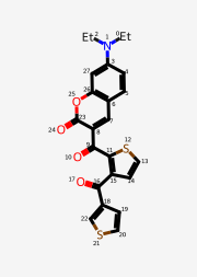 CCN(CC)c1ccc2cc(C(=O)c3sccc3C(=O)c3ccsc3)c(=O)oc2c1